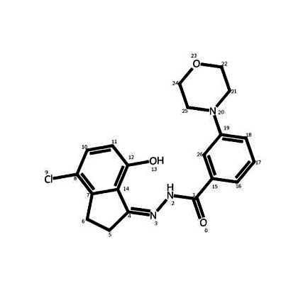 O=C(N/N=C1/CCc2c(Cl)ccc(O)c21)c1cccc(N2CCOCC2)c1